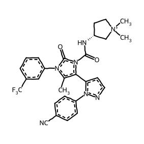 Cc1c(-c2ccnn2-c2ccc(C#N)cc2)n(C(=O)N[C@@H]2CC[N+](C)(C)C2)c(=O)n1-c1cccc(C(F)(F)F)c1